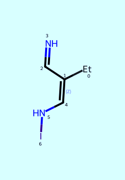 CC/C(C=N)=C/NI